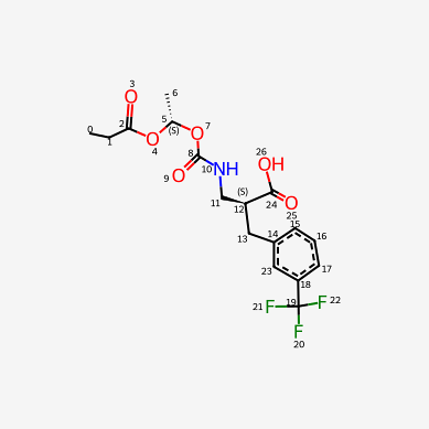 CCC(=O)O[C@H](C)OC(=O)NC[C@H](Cc1cccc(C(F)(F)F)c1)C(=O)O